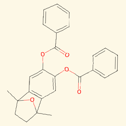 CC12CCC(C)(O1)c1cc(OC(=O)c3ccccc3)c(OC(=O)c3ccccc3)cc12